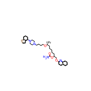 CCCC(CCCCCC(COc1ccc2ccccc2n1)OC(N)=O)OCCCCN1CCN(c2cccc3sccc23)CC1